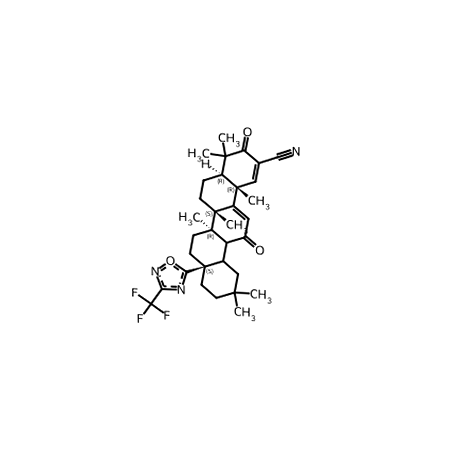 CC1(C)CC[C@]2(c3nc(C(F)(F)F)no3)CC[C@]3(C)C(C(=O)C=C4[C@@]5(C)C=C(C#N)C(=O)C(C)(C)[C@@H]5CC[C@]43C)C2C1